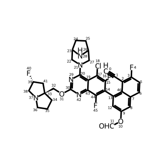 C#Cc1c(F)ccc2cc(OC=O)cc(-c3c(F)c(Cl)c4c(N5CC6CCC(C5)N6)nc(OC[C@@]56CCCN5C[C@H](F)C6)nc4c3F)c12